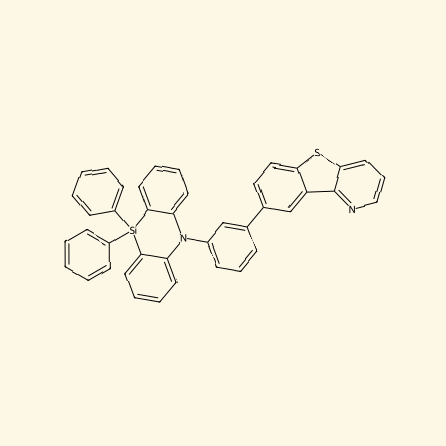 c1ccc([Si]2(c3ccccc3)c3ccccc3N(c3cccc(-c4ccc5sc6cccnc6c5c4)c3)c3ccccc32)cc1